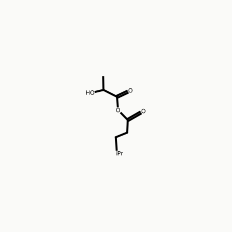 CC(C)CCC(=O)OC(=O)C(C)O